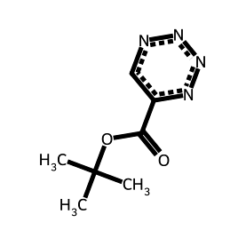 CC(C)(C)OC(=O)c1cnnnn1